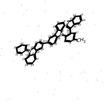 Cc1ccc(-n2c3ccccc3c3cc(-c4ccc5c(c4)c4ccccc4n5-c4ccccc4)ccc32)c(-c2csc3ccccc23)c1